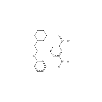 O=[N+]([O-])c1cccc([N+](=O)[O-])c1.c1ccc(NCCN2CCCCC2)nc1